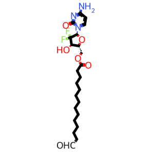 Nc1ccn([C@@H]2O[C@H](COC(=O)CCCCCCCCCCCCC=O)[C@@H](O)C2(F)F)c(=O)n1